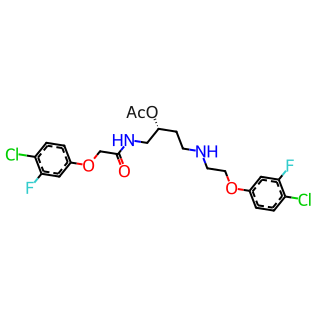 CC(=O)O[C@H](CCNCCOc1ccc(Cl)c(F)c1)CNC(=O)COc1ccc(Cl)c(F)c1